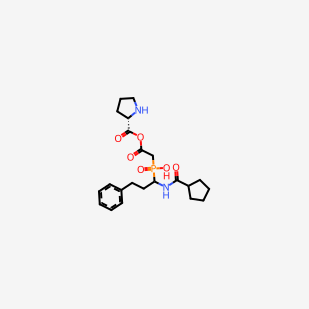 O=C(CP(=O)(O)C(CCc1ccccc1)NC(=O)C1CCCC1)OC(=O)[C@@H]1CCCN1